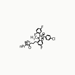 CCCN(CCC)C(=O)CCCc1cc(F)ccc1[C@@H](C)N(c1cc(F)ccc1F)S(=O)(=O)c1ccc(Cl)cc1